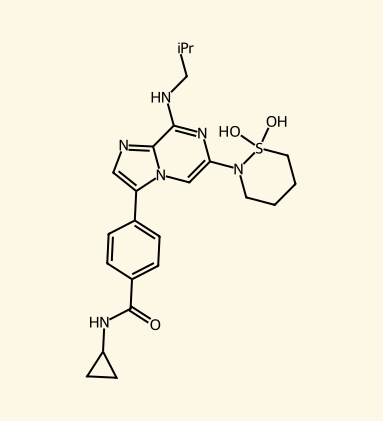 CC(C)CNc1nc(N2CCCCS2(O)O)cn2c(-c3ccc(C(=O)NC4CC4)cc3)cnc12